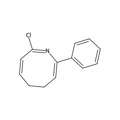 ClC1=N/C(c2ccccc2)=C\CC/C=C\1